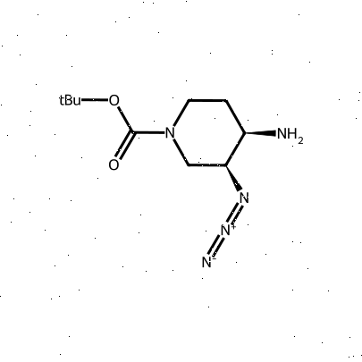 CC(C)(C)OC(=O)N1CC[C@@H](N)[C@@H](N=[N+]=[N-])C1